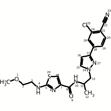 COCCNc1nc(C(=O)NC(C)Cn2ccc(-c3ccc(C#N)c(Cl)c3)n2)cs1